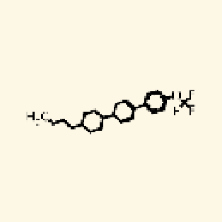 CCCCC1CCC(C2C=CC(c3ccc(OC(F)(F)F)cc3)=CC2)CC1